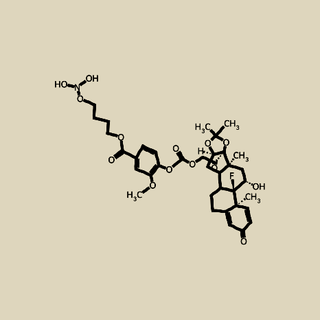 COc1cc(C(=O)OCCCCON(O)O)ccc1OC(=O)OCC(=O)[C@@]12OC(C)(C)O[C@@H]1CC1C3CCC4=CC(=O)C=C[C@]4(C)[C@@]3(F)[C@@H](O)C[C@@]12C